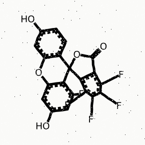 O=C1OC2(c3ccc(O)cc3Oc3cc(O)cc(F)c32)c2c(F)c(F)c(F)c(F)c21